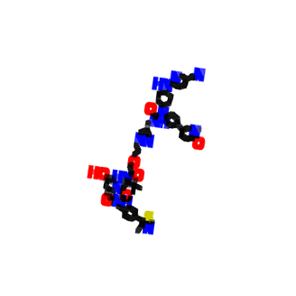 Cc1ncsc1-c1ccc(CNC(=O)[C@@H]2C[C@@H](O)CN2C(=O)[C@@H](NC(=O)COCCCn2cc(CNC(=O)N(c3ccc(-c4ccc(=O)n(C)c4)cc3)[C@H]3CC[C@H](Nc4ccc(C#N)cn4)CC3)cn2)C(C)(C)C)cc1